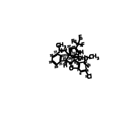 COc1nc(Cl)cc2c1[C@]1(O)[C@H](O)[C@@H]3CN(C)c4cccc(c4)[C@H]3[C@]1(c1ccc(C(F)(F)F)cc1)O2